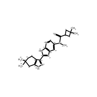 CN(C(=O)C1CC(C)(C)C1)c1cnc2[nH]c(-c3n[nH]c4c3CCC(C)(C)C4)nc2c1